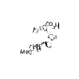 COc1cccc([C@@H](C)NCCOc2cc(F)cc(-c3cc(C(=O)O)cc(C(F)(F)F)c3)c2)c1